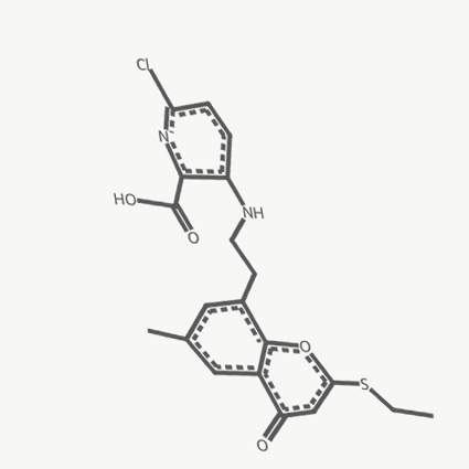 CCSc1cc(=O)c2cc(C)cc(CCNc3ccc(Cl)nc3C(=O)O)c2o1